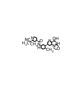 Cc1ccc(NC(=O)c2ccnc(C(C)(C)C#N)c2)cc1-c1cnc2c(c1)N1CCOC[C@@H]1C[C@@H]2O